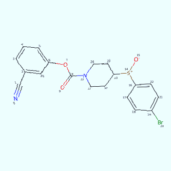 N#Cc1cccc(OC(=O)N2CCC([S+]([O-])c3ccc(Br)cc3)CC2)c1